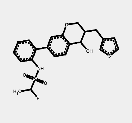 CC(F)S(=O)(=O)Nc1ccccc1-c1ccc2c(c1)OCC(Cc1ccsc1)C2O